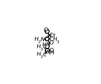 CCN(c1cc(N)cc(C(=O)NCc2c(C)cc(C)[nH]c2=O)c1C)C1CCOCC1